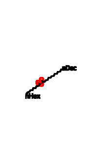 CCCCCC/C=C\CCCCCCCC(=O)OC(=O)CCCCCCCCCCCCCCCCCCCCCCC